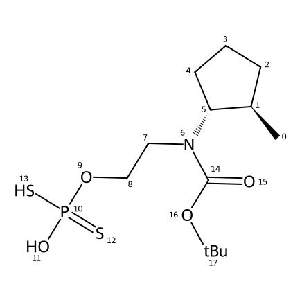 C[C@@H]1CCC[C@H]1N(CCOP(O)(=S)S)C(=O)OC(C)(C)C